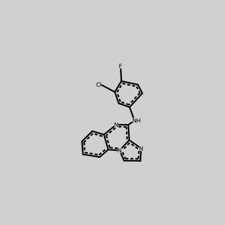 Fc1ccc(Nc2nc3ccccc3n3ccnc23)cc1Cl